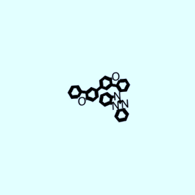 c1ccc2c(c1)nc1n(-c3cccc4oc5ccc(-c6ccc7oc8ccccc8c7c6)cc5c34)c3ccccc3n21